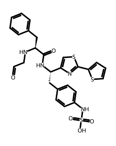 O=CCN[C@@H](Cc1ccccc1)C(=O)N[C@@H](Cc1ccc(NS(=O)(=O)O)cc1)c1csc(-c2cccs2)n1